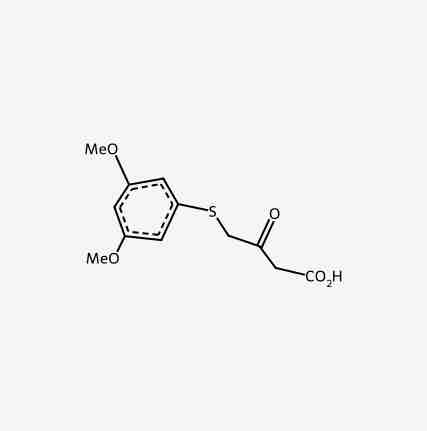 COc1cc(OC)cc(SCC(=O)CC(=O)O)c1